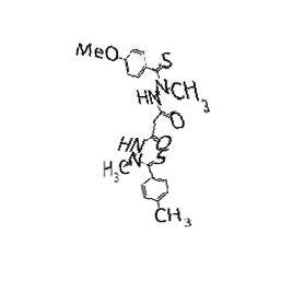 COc1ccc(C(=S)N(C)NC(=O)CC(=O)NN(C)C(=S)c2ccc(C)cc2)cc1